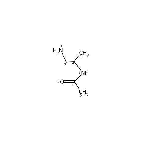 CC(=O)NC(C)CN